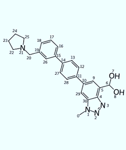 Cn1nnc2c(C(O)O)cc(-c3ccc(-c4cccc(CN5CCCC5)c4)cc3)cc21